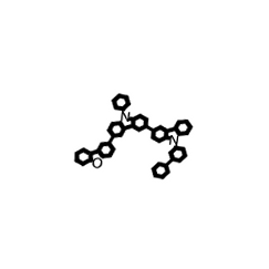 c1ccc(-c2cccc(-n3c4ccccc4c4cc(-c5ccc6c(c5)c5cc(-c7ccc8oc9ccccc9c8c7)ccc5n6-c5ccccc5)ccc43)c2)cc1